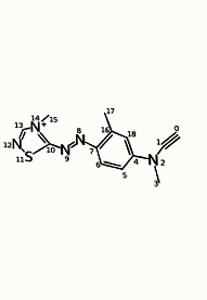 C#CN(C)c1ccc(/N=N/c2snc[n+]2C)c(C)c1